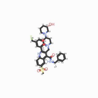 C[C@H](NC(=O)c1c(CN2CCC(N3CCC[C@H](O)C3)CC2)c(-c2cccc(CF)c2)nc2ccc(S(C)(=O)=O)cc12)c1ccccc1